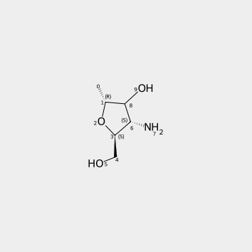 C[C@H]1O[C@H](CO)[C@@H](N)C1O